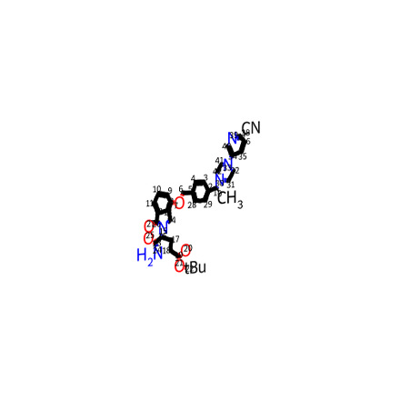 C[C@H](c1ccc(COc2cccc3c2CN(C(CCC(=O)OC(C)(C)C)C(N)=O)C3=O)cc1)N1CCN(c2ccc(C#N)nc2)CC1